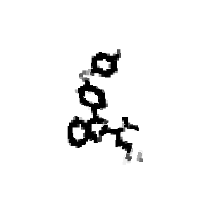 CN(C)C(CCN)c1nc(-c2ccc(Oc3ccc(F)cc3)cc2)c2ccccc2n1